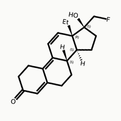 CC[C@]12C=CC3=C4CCC(=O)C=C4CC[C@H]3[C@@H]1CC[C@@]2(O)CF